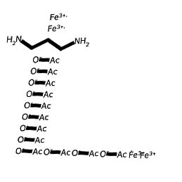 CC(=O)[O-].CC(=O)[O-].CC(=O)[O-].CC(=O)[O-].CC(=O)[O-].CC(=O)[O-].CC(=O)[O-].CC(=O)[O-].CC(=O)[O-].CC(=O)[O-].CC(=O)[O-].CC(=O)[O-].NCCCN.[Fe+3].[Fe+3].[Fe+3].[Fe+3]